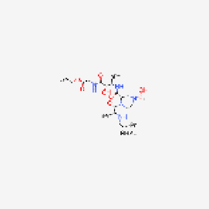 C=CCOC(=O)CNC(=O)C(O)C(CCC)NC(=O)C1CN(B(C)O)CCN1C(=O)[C@@H](NC[C@@H](NC(C)=O)C(C)C)C(C)C